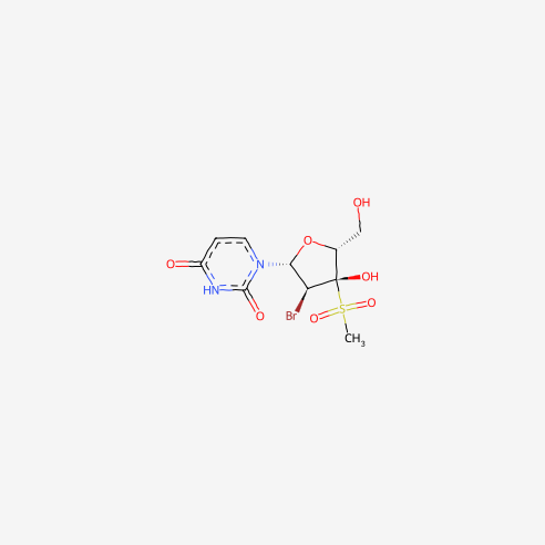 CS(=O)(=O)[C@@]1(O)[C@@H](CO)O[C@@H](n2ccc(=O)[nH]c2=O)[C@@H]1Br